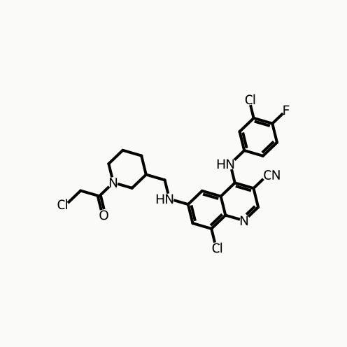 N#Cc1cnc2c(Cl)cc(NCC3CCCN(C(=O)CCl)C3)cc2c1Nc1ccc(F)c(Cl)c1